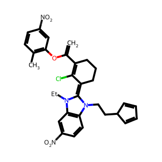 C=C(Oc1cc([N+](=O)[O-])ccc1C)C1=C(Cl)/C(=C2\N(CC)c3cc([N+](=O)[O-])ccc3N2CCC2C=CC=C2)CCC1